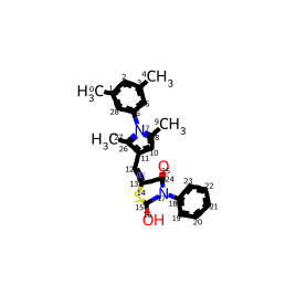 Cc1cc(C)cc(-n2c(C)cc(/C=C3/SC(O)N(c4ccccc4)C3=O)c2C)c1